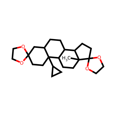 CC12CCC3C(CCC4CC5(CCC43C3CC3)OCCO5)C1CCC21OCCO1